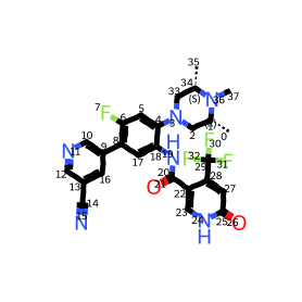 C[C@@H]1CN(c2cc(F)c(-c3cncc(C#N)c3)cc2NC(=O)c2c[nH]c(=O)cc2C(F)(F)F)C[C@H](C)N1C